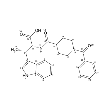 C[C@@H](c1c[nH]c2ccccc12)[C@@H](NC(=O)C1CCN(C(=O)c2ccccc2)CC1)C(=O)O